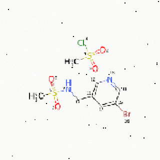 CS(=O)(=O)Cl.CS(=O)(=O)NCc1cncc(Br)c1